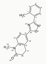 Cc1ccccc1-c1noc(-c2ccc3c(c2)CCC(=O)N3C)n1